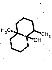 CC1CCCC2(C)CCCCC12O